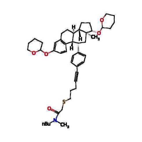 CCCCN(C)C(=O)CSCCCC#Cc1ccc([C@H]2C[C@]3(C)[C@@H](OC4CCCCO4)CC[C@H]3[C@@H]3CCc4cc(OC5CCCCO5)ccc4[C@H]32)cc1